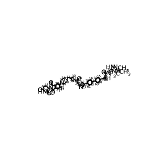 CC(C)(c1n[nH]c(CNC(=O)[C@H]2C[C@@H]2c2ccc(-c3ccc(-c4cnn(CC(=O)N5CC(CN6CCN(c7cc8c(cc7F)C(=O)N(C7CCC(=O)NC7=O)C8=O)CC6)C5)c4)cc3)cc2)n1)C(F)(F)F